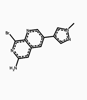 Cn1cc(-c2cnc3c(Br)nc(N)cc3c2)cn1